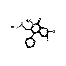 Cn1c(CNC(=O)O)c(-c2ccccc2)c2cc(Cl)c(Cl)cc2c1=O